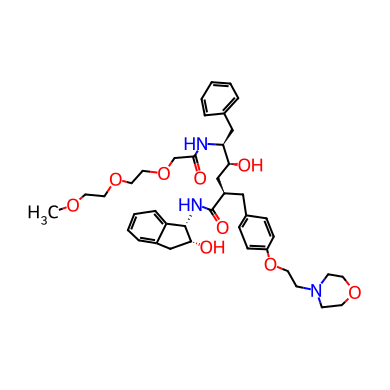 COCCOCCOCC(=O)N[C@@H](Cc1ccccc1)[C@@H](O)C[C@@H](Cc1ccc(OCCN2CCOCC2)cc1)C(=O)N[C@H]1c2ccccc2C[C@H]1O